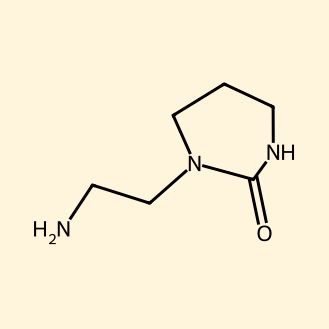 NCCN1CCCNC1=O